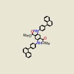 COC(=O)C1=C(Nc2ccc(-c3cccc4ccccc34)cc2)CC(C(=O)OC)=C(Nc2ccc(-c3cccc4ccccc34)cc2)C1